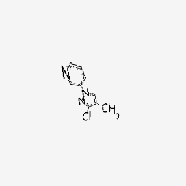 Cc1cn(-c2cccnc2)nc1Cl